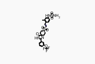 Cc1cc(NS(N)(=O)=O)ccc1/C=C/S(=O)(=O)N1CCC2(CC1)N=C(c1cccc(OC(F)(F)F)c1)NC2=O